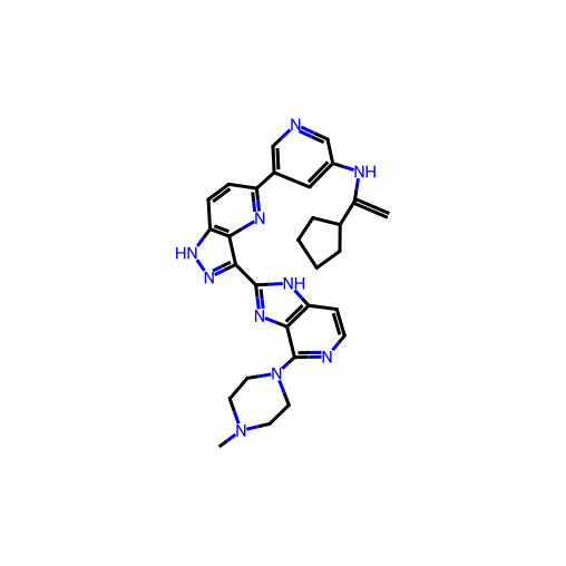 C=C(Nc1cncc(-c2ccc3[nH]nc(-c4nc5c(N6CCN(C)CC6)nccc5[nH]4)c3n2)c1)C1CCCC1